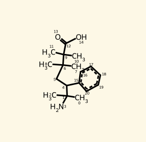 CC(C)(N)C(CC(C)(C)C(C)(C)C(=O)O)c1ccccc1